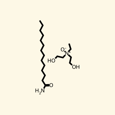 CCCCCCCCCCCCCC(N)=O.CC[N+]([O-])(CCO)CCO